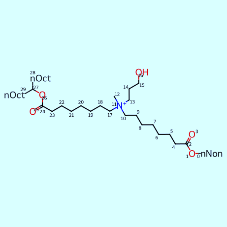 CCCCCCCCCOC(=O)CCCCCCC[N+](C)(CCCO)CCCCCCCC(=O)OC(CCCCCCCC)CCCCCCCC